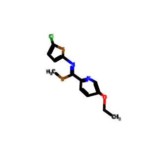 CCOc1ccc(C(=Nc2ccc(Cl)s2)SC)nc1